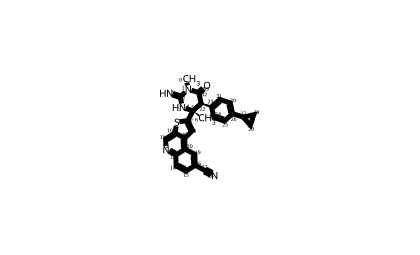 CN1C(=N)N[C@](C)(c2cc3c(cnc4ccc(C#N)cc43)s2)[C@H](c2ccc(C3CC3)cc2)C1=O